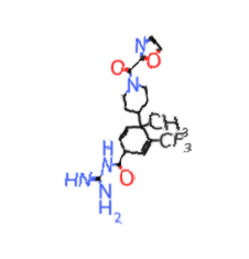 CC1(C2CCN(C(=O)c3ncco3)CC2)C=CC(C(=O)NC(=N)N)C=C1C(F)(F)F